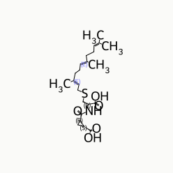 CC(C)=CCC/C(C)=C/CC/C(C)=C/CSC[C@H](NC(=O)[C@@H]1C[C@@H]1C(=O)O)C(=O)O